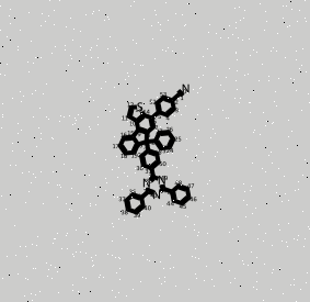 N#Cc1ccc(-c2cc3c(c4ccsc24)-c2ccccc2C3(c2ccccc2)c2ccc(-c3nc(-c4ccccc4)nc(-c4ccccc4)n3)cc2)cc1